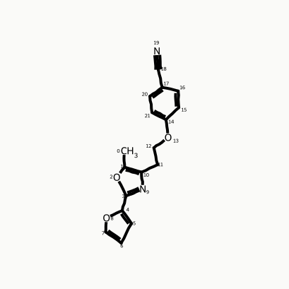 Cc1oc(-c2ccco2)nc1CCOc1ccc(C#N)cc1